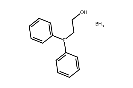 B.OCCP(c1ccccc1)c1ccccc1